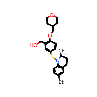 CCc1ccc2c(c1)CCC(C(F)(F)F)N2Sc1ccc(OCC2CCOCC2)c(CO)c1